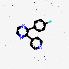 Fc1ccc(-c2nccnc2-c2ccncc2)cc1